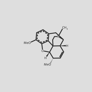 COc1ccc2c3c1O[C@H]1[C@@H](OC)C=C[C@H]4C(C2)N(C)CCC341